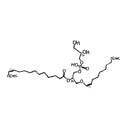 CCCCCCCCCC/C=C\CCCCCCCCCC(=O)O[C@H](CO/C=C\CCCCCCCCCCCCCCCC)COP(=O)(O)OC[C@@H](O)CO